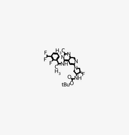 Cc1nc(N[C@H](C)c2cccc(C(F)F)c2F)c2cc(N3C[C@@H](F)[C@@H](NC(=O)OC(C)(C)C)C3)ncc2n1